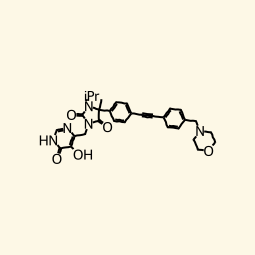 CC(C)N1C(=O)N(Cc2nc[nH]c(=O)c2O)C(=O)C1(C)c1ccc(C#Cc2ccc(CN3CCOCC3)cc2)cc1